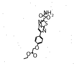 CCOC(=O)COc1ccc(-c2cn3nc(S(N)(=O)=O)sc3n2)cc1